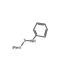 CCCC(C)SNc1ccccc1